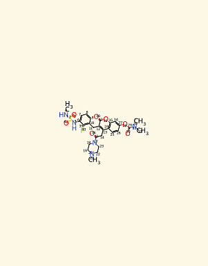 CNS(=O)(=O)Nc1cccc(Cc2c(CC(=O)N3CCN(C)CC3)c3ccc(OC(=O)N(C)C)cc3oc2=O)c1F